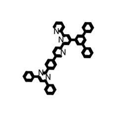 c1ccc(-c2cc(-c3ccccc3)cc(-c3cc(-c4ccccn4)nc(-c4ccc(-c5ccc(-c6nc(-c7ccccc7)cc(-c7ccccc7)n6)cc5)cn4)c3)c2)cc1